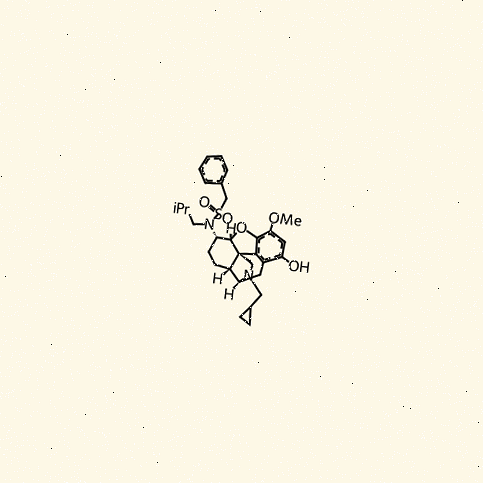 COc1cc(O)c2c3c1O[C@H]1[C@@H](N(CC(C)C)S(=O)(=O)Cc4ccccc4)CC[C@H]4[C@@H](C2)N(CC2CC2)CC[C@@]341